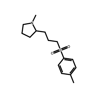 Cc1ccc(S(=O)(=O)CCCC2CCCN2C)cc1